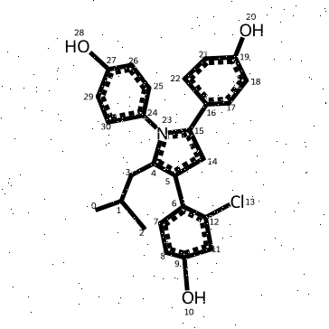 CC(C)Cc1c(-c2ccc(O)cc2Cl)cc(-c2ccc(O)cc2)n1-c1ccc(O)cc1